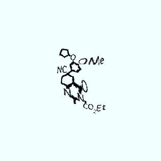 CCOC(=O)Cn1c(C)nc2c(c1=O)CC(C#N)(c1ccc(OC)c(OC3CCCC3)c1)CC2